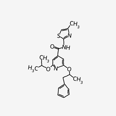 Cc1csc(NC(=O)c2cc(OC(C)C)nc(OC(C)Cc3ccccc3)c2)n1